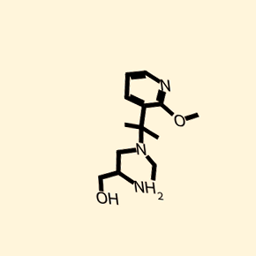 CCN(CC(N)CO)C(C)(C)c1cccnc1OC